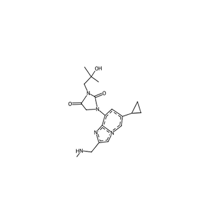 CNCc1cn2cc(C3CC3)cc(N3CC(=O)N(CC(C)(C)O)C3=O)c2n1